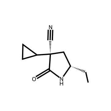 CC[C@H]1C[C@](C#N)(C2CC2)C(=O)N1